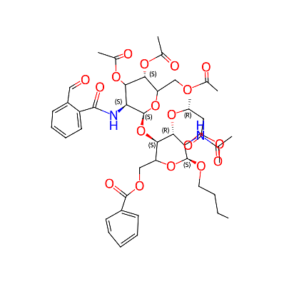 CCCCO[C@H]1OC(COC(=O)c2ccccc2)[C@@H](O[C@@H]2OC(COC(C)=O)[C@@H](OC(C)=O)C(OC(C)=O)[C@@H]2NC(=O)c2ccccc2C=O)[C@H](O[C@H](C)CC(=O)OC)C1NC(C)=O